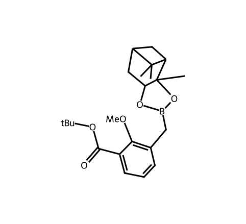 COc1c(CB2OC3CC4CC(C4(C)C)C3(C)O2)cccc1C(=O)OC(C)(C)C